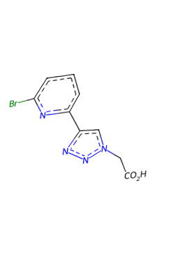 O=C(O)Cn1cc(-c2cccc(Br)n2)nn1